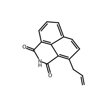 C=CCc1ccc2cccc3c2c1C(=O)NC3=O